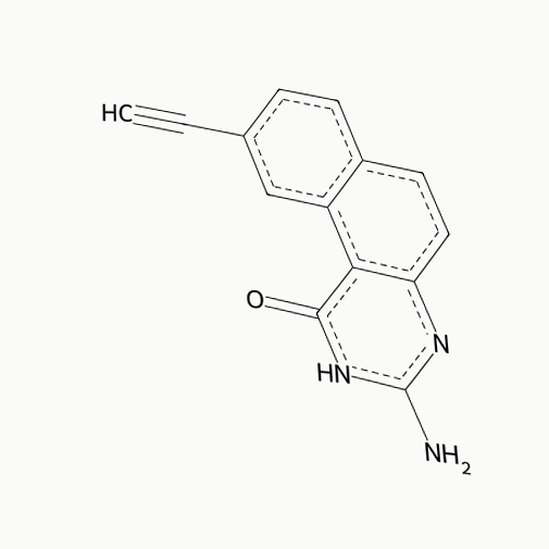 C#Cc1ccc2ccc3nc(N)[nH]c(=O)c3c2c1